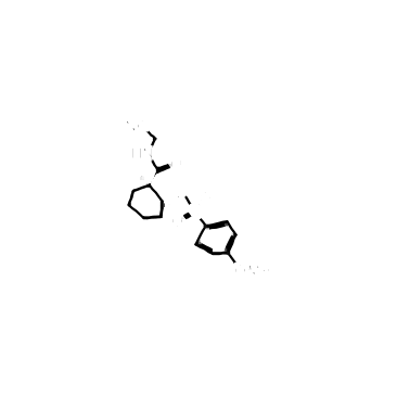 COc1ccc(S(=O)(=O)C[C@@H]2CCCC[C@H]2C(=O)NCC#N)cc1